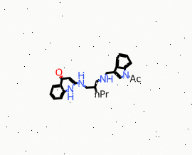 CCCC(CNCc1cn(C(C)=O)c2ccccc12)CNc1cc(=O)c2ccccc2[nH]1